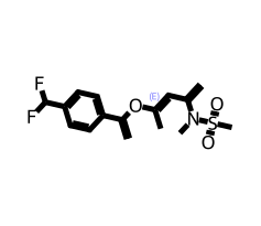 C=C(O/C(C)=C/C(=C)N(C)S(C)(=O)=O)c1ccc(C(F)F)cc1